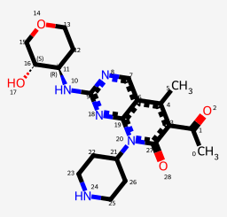 CC(=O)c1c(C)c2cnc(N[C@@H]3CCOC[C@H]3O)nc2n(C2CCNCC2)c1=O